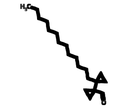 CCCCCCCCCCCCCC1(C2(C=O)CC2)CC1